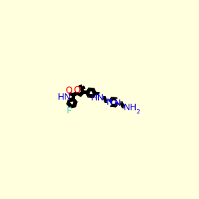 CC1(C)OC(=C2C(=O)Nc3cc(F)ccc32)C=C1c1ccc(CNCCN2CCN(CCN)CC2)cc1